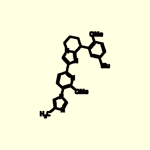 COc1ccc(C(C)(C)C)cc1C1CCCn2cc(-c3ccc(-n4cnc(C)c4)c(OC)n3)nc21